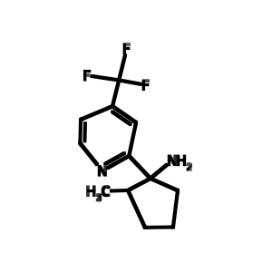 CC1CCCC1(N)c1cc(C(F)(F)F)ccn1